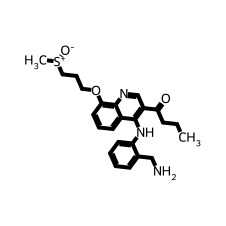 CCCC(=O)c1cnc2c(OCCC[S+](C)[O-])cccc2c1Nc1ccccc1CN